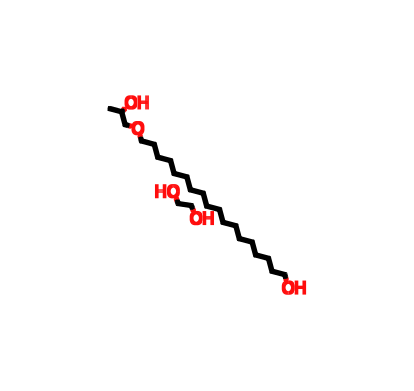 CC(O)COCCCCCCCCCCCCCCCCCCO.OCCO